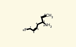 C=CC(N)C/C=C\CF